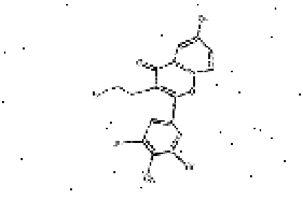 CCCc1c(-c2cc(Br)c(O)c(Br)c2)oc2ccc(O)cc2c1=O